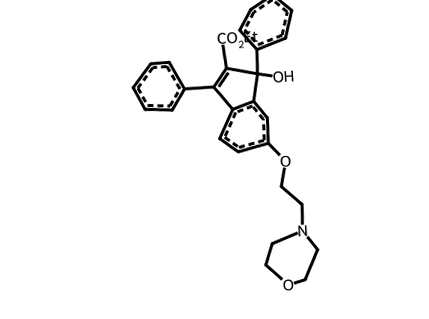 CCOC(=O)C1=C(c2ccccc2)c2ccc(OCCN3CCOCC3)cc2C1(O)c1ccccc1